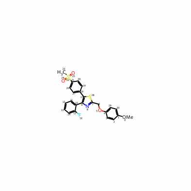 COc1ccc(OCc2nc(-c3ccccc3F)c(-c3ccc(S(C)(=O)=O)cc3)s2)cc1